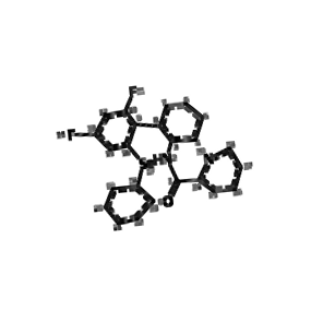 O=C(Nc1ccccc1-c1c(F)cc(F)cc1[Se]c1ccccc1)c1ccccn1